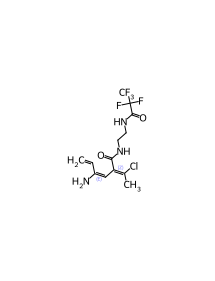 C=C/C(N)=C\C(C(=O)NCCNC(=O)C(F)(F)C(F)(F)F)=C(/C)Cl